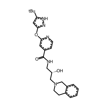 CC(C)(C)c1cc(Oc2cc(C(=O)NC[C@H](O)CN3CCc4ccccc4C3)ccn2)n[nH]1